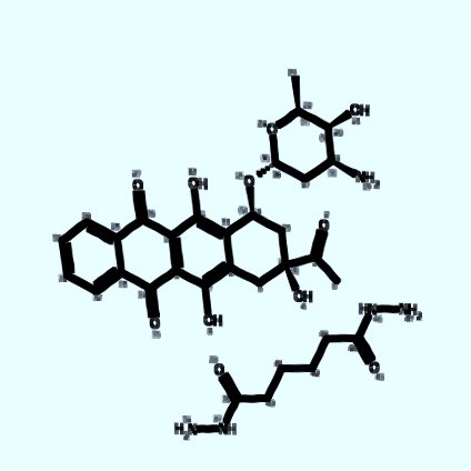 CC(=O)[C@]1(O)Cc2c(O)c3c(c(O)c2[C@@H](O[C@H]2C[C@H](N)[C@H](O)[C@H](C)O2)C1)C(=O)c1ccccc1C3=O.NNC(=O)CCCCC(=O)NN